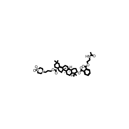 CC(=O)NCCOC(=O)c1ccccc1C(=O)O[C@H]1CC[C@]2(C)[C@H]3CCC4=C5CC(C)(C)CC[C@]5(C(=O)OCCCN5CCS(=O)(=O)CC5)CC[C@@]4(C)[C@]3(C)CC[C@H]2C1(C)C